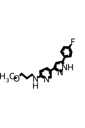 COCCCNc1ccc(-c2cc(-c3ccc(F)cc3)[nH]n2)cn1